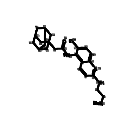 CNCCNc1ccc2c(NC(=O)CC34CC5CC(CC(C5)C3)C4)c(Cl)ccc2n1